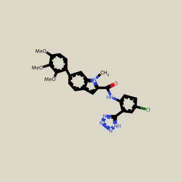 COc1ccc(-c2ccc3cc(C(=O)Nc4ccc(Cl)cc4-c4nnn[nH]4)n(C)c3c2)c(OC)c1OC